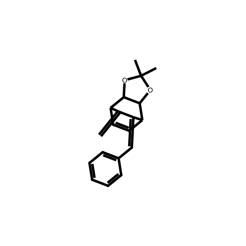 C=C1/C(=C\c2ccccc2)C2C=CC1C1OC(C)(C)OC21